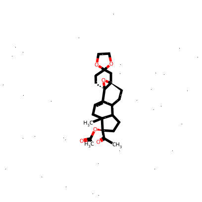 CC(=O)O[C@]1(C(C)=O)CCC2C3CC[C@@]45CC6(CC[C@@]4(O5)C3=CCC21C)OCCO6